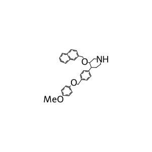 COc1ccc(OCc2ccc(C3CCNCC3OCc3ccc4ccccc4c3)cc2)cc1